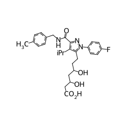 Cc1ccc(CNC(=O)c2nn(-c3ccc(F)cc3)c(CCC(O)CC(O)CC(=O)O)c2C(C)C)cc1